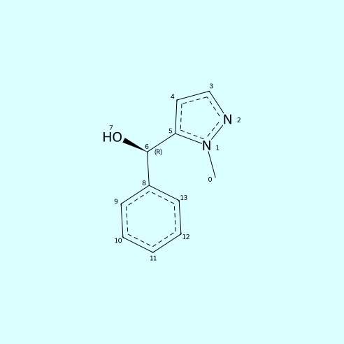 Cn1nccc1[C@H](O)c1ccccc1